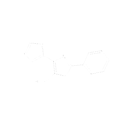 O=C(O)c1sc(-c2ccccc2)nc1-c1ccco1